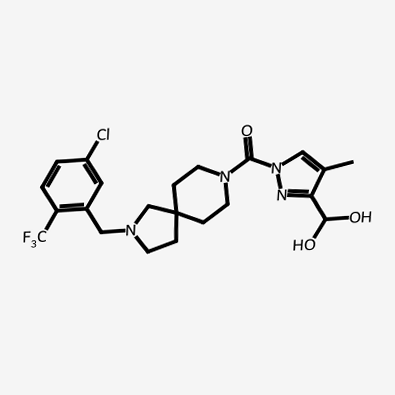 Cc1cn(C(=O)N2CCC3(CCN(Cc4cc(Cl)ccc4C(F)(F)F)C3)CC2)nc1C(O)O